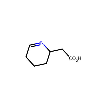 O=C(O)CC1CCCC=N1